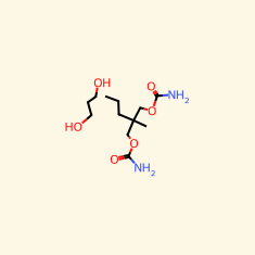 CCCC(C)(COC(N)=O)COC(N)=O.OCCCO